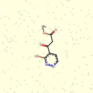 CC(C)(C)OC(=O)CC(=O)c1ccnnc1O